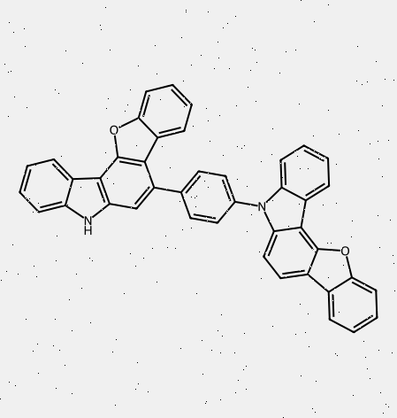 c1ccc2c(c1)[nH]c1cc(-c3ccc(-n4c5ccccc5c5c6oc7ccccc7c6ccc54)cc3)c3c4ccccc4oc3c12